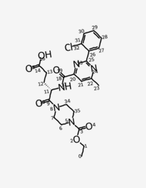 CCOC(=O)N1CCN(C(=O)[C@H](CCC(=O)O)NC(=O)c2cc(C)nc(-c3ccccc3Cl)n2)CC1